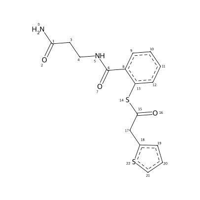 NC(=O)CCNC(=O)c1ccccc1SC(=O)Cc1cccs1